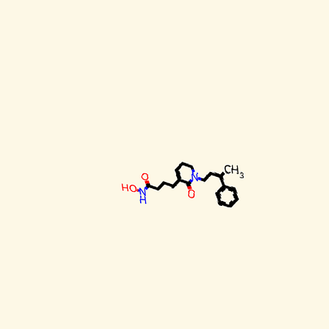 CC(CCN1CCC=C(CCCC(=O)NO)C1=O)c1ccccc1